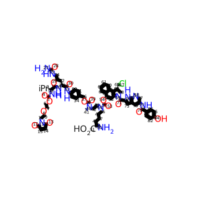 CC(C)[C@H](NC(=O)OCCOCCN1C(=O)C=CC1=O)C(=O)N[C@@H](CCCNC(N)=O)C(=O)Nc1ccc(COC(=O)N(C)CCN(CCCC[C@H](N)C(=O)O)C(=O)Oc2cc3c(c4ccccc24)[C@H](CCl)CN3C(=O)c2cc3cc(NC(=O)c4ccc(O)cc4)cnc3[nH]2)cc1